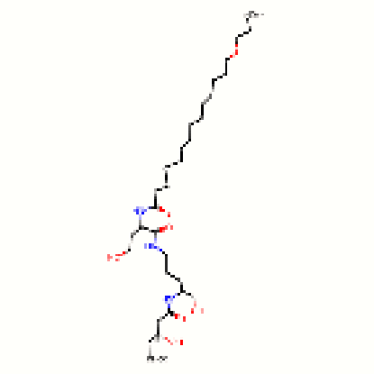 CCCCCCCCCCCCOCCCCCCCCCCCCCC(=O)NC(CCO)C(=O)NCCCC(CO)NC(=O)C[C@H](O)CCCCCCCCCCC